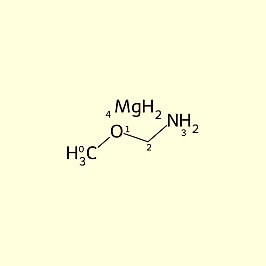 COCN.[MgH2]